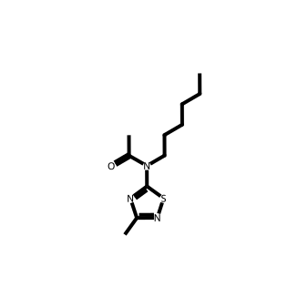 CCCCCCN(C(C)=O)c1nc(C)ns1